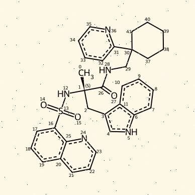 C[C@@](Cc1c[nH]c2ccccc12)(NS(=O)(=O)c1cccc2cccnc12)C(=O)NCC1(c2ccccn2)CCCCC1